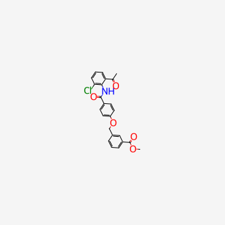 COC(=O)c1cccc(COc2ccc(C(=O)Nc3c(Cl)cccc3C(C)=O)cc2)c1